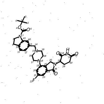 CC(C)(C)OC(=O)N1CCc2ccc(CN3CCN(c4cc(F)cc5c4CN(C4CCC(=O)NC4=O)C5=O)CC3)cc21